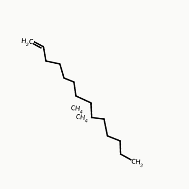 C.C.C=CCCCCCCCCCCCC